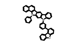 c1ccc(-n2c3cc4c(cc3c3ccc5ccccc5c32)c2ccccc2n4-c2cccc(-c3cccc4oc5ccccc5c34)c2)cc1